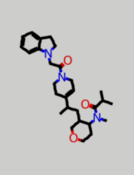 CC(C)C(=O)N(C)C1CCOCC1CC(C)C1=CCN(C(=O)CN2CCc3ccccc32)CC1